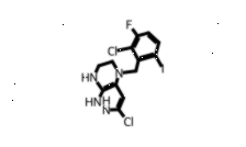 Fc1ccc(I)c(CN2CCNC3=C2C=C(Cl)NN3)c1Cl